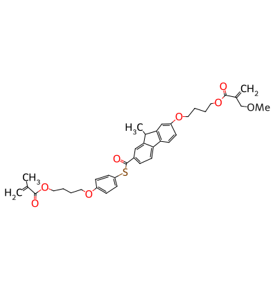 C=C(C)C(=O)OCCCCOc1ccc(SC(=O)c2ccc3c(c2)C(C)c2cc(OCCCCOC(=O)C(=C)COC)ccc2-3)cc1